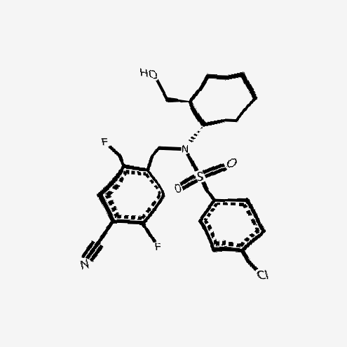 N#Cc1cc(F)c(CN([C@H]2CCCC[C@@H]2CO)S(=O)(=O)c2ccc(Cl)cc2)cc1F